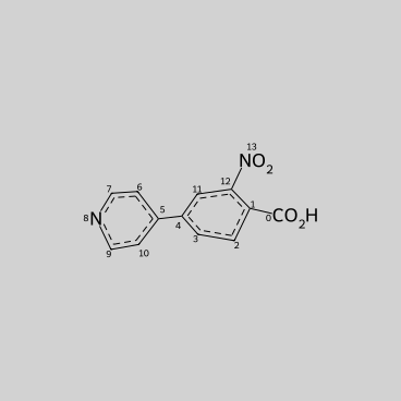 O=C(O)c1ccc(-c2ccncc2)cc1[N+](=O)[O-]